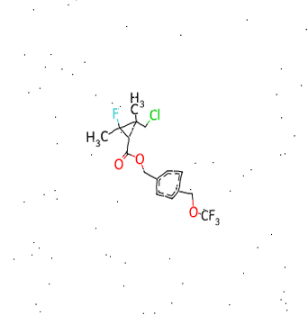 CC1(F)C(C(=O)OCc2ccc(COC(F)(F)F)cc2)C1(C)CCl